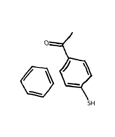 CC(=O)c1ccc(S)cc1.c1ccccc1